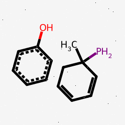 CC1(P)C=CC=CC1.Oc1ccccc1